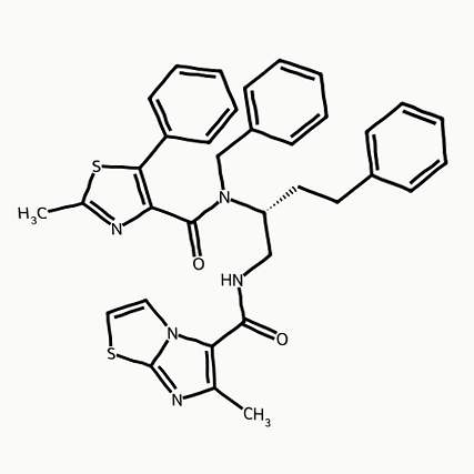 Cc1nc(C(=O)N(Cc2ccccc2)[C@H](CCc2ccccc2)CNC(=O)c2c(C)nc3sccn23)c(-c2ccccc2)s1